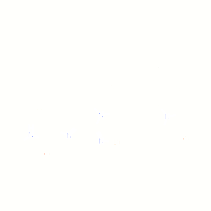 CCOc1cc2c(nc1C(=O)NC)/C(=N/Br)N(CC(=O)c1cc(N3CCOCC3)c(OC)c(C(C)(C)C)c1)C2